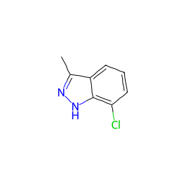 Cc1n[nH]c2c(Cl)cccc12